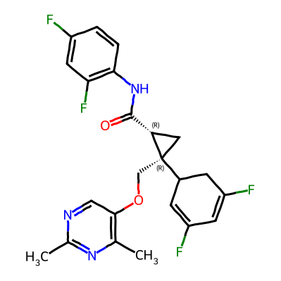 Cc1ncc(OC[C@@]2(C3C=C(F)C=C(F)C3)C[C@H]2C(=O)Nc2ccc(F)cc2F)c(C)n1